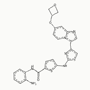 Nc1ccccc1NC(=O)c1ccc(Nc2nc(-c3cnc4cc(OC5COC5)ccn34)cs2)s1